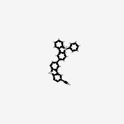 N#Cc1ccc2oc3ccc(-c4ccc5c(c4)c4ccccc4n5-c4ccccc4)cc3c2c1